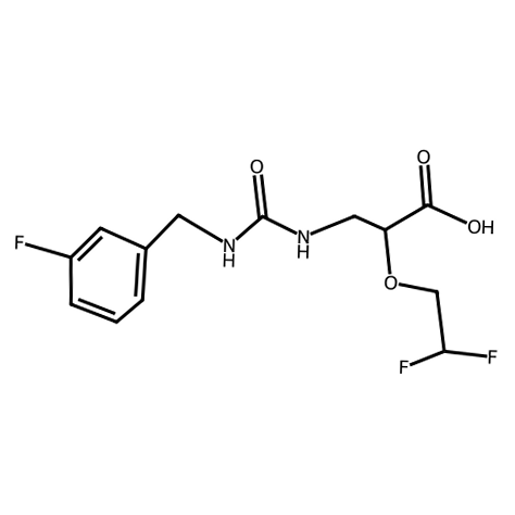 O=C(NCc1cccc(F)c1)NCC(OCC(F)F)C(=O)O